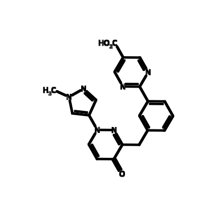 Cn1cc(-n2ccc(=O)c(Cc3cccc(-c4ncc(C(=O)O)cn4)c3)n2)cn1